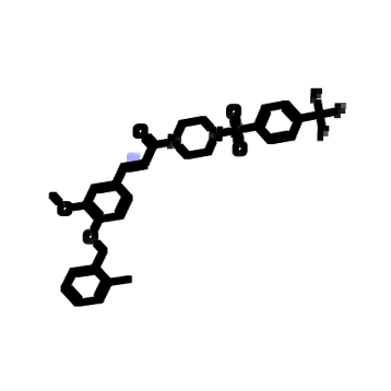 COc1cc(/C=C/C(=O)N2CCN(S(=O)(=O)c3ccc(C(F)(F)F)cc3)CC2)ccc1OCc1ccccc1C